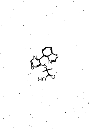 CC(C)(Sc1cncnc1-c1cccc2scnc12)C(=O)O